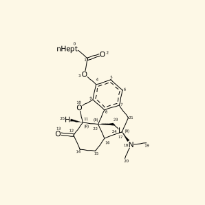 CCCCCCCC(=O)Oc1ccc2c3c1O[C@H]1C(=O)CCC([C@H](N(C)C)C2)[C@@]31CI